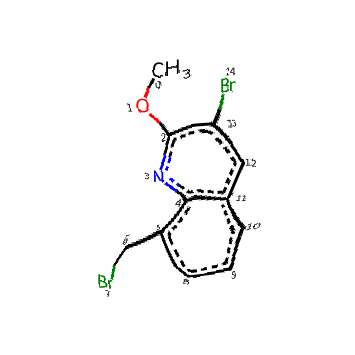 COc1nc2c(CBr)cccc2cc1Br